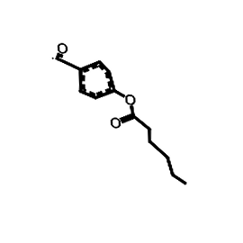 CCCCCC(=O)Oc1ccc([C]=O)cc1